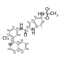 CS(=O)(=O)Nc1ccc2[nH]c(C(=O)Nc3ccc(Cl)c(-c4nccc5ccccc45)c3)cc2c1